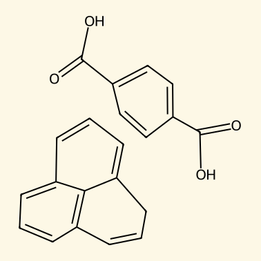 C1=Cc2cccc3cccc(c23)C1.O=C(O)c1ccc(C(=O)O)cc1